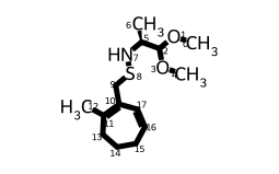 COC(OC)[C@H](C)NSCC1=C(C)CCCC=C1